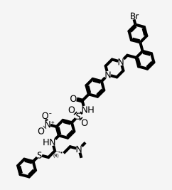 CN(C)CC[C@H](CSc1ccccc1)Nc1ccc(S(=O)(=O)NC(=O)c2ccc(N3CCN(Cc4ccccc4-c4ccc(Br)cc4)CC3)cc2)cc1[N+](=O)[O-]